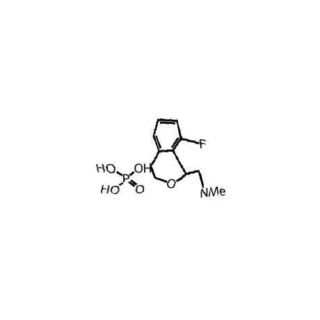 CNCC1OCCc2cccc(F)c21.O=P(O)(O)O